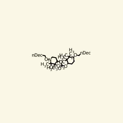 CCCCCCCCCCCON1CCC(OC(=O)OC2CCN(OCCCCCCCCCCC)C(C)(C)C2(C)C)C(C)(C)C1(C)C